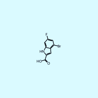 O=C(O)c1cc2c(Br)cc(F)cc2[nH]1